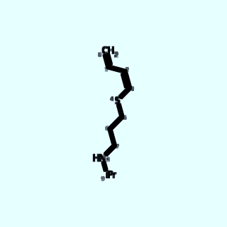 C=C/C=C\SCCCNC(C)C